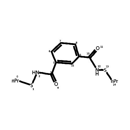 CCCSNC(=O)c1cccc(C(=O)NSCCC)c1